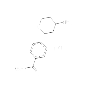 COC(=O)c1ccc([C@H]2CC(N)C[C@@H](C)O2)cc1.Cl